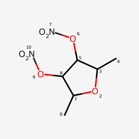 CC1OC(C)C(O[N+](=O)[O-])C1O[N+](=O)[O-]